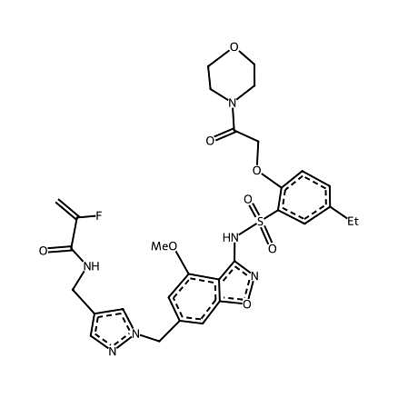 C=C(F)C(=O)NCc1cnn(Cc2cc(OC)c3c(NS(=O)(=O)c4cc(CC)ccc4OCC(=O)N4CCOCC4)noc3c2)c1